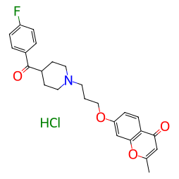 Cc1cc(=O)c2ccc(OCCCN3CCC(C(=O)c4ccc(F)cc4)CC3)cc2o1.Cl